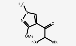 CCCCC(CCCC)C(=O)c1cn(C)nc1OC